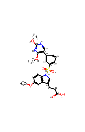 COc1ccc2c(c1)c(CCC(=O)O)cn2S(=O)(=O)c1cccc(-c2cnc(OC)nc2OC)c1